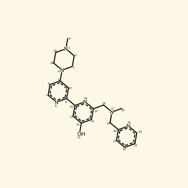 CN1CCN(c2ccnc(-c3cc(O)cc(CN(C)Cc4ccccn4)n3)c2)CC1